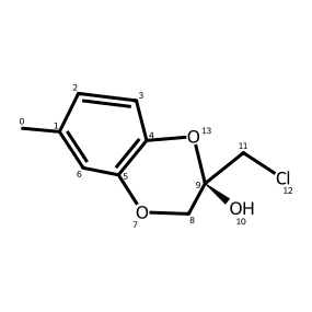 Cc1ccc2c(c1)OC[C@@](O)(CCl)O2